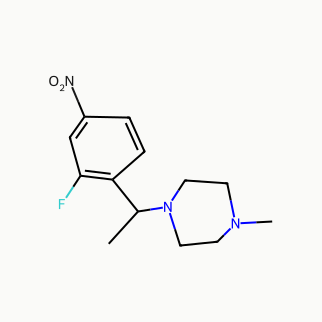 CC(c1ccc([N+](=O)[O-])cc1F)N1CCN(C)CC1